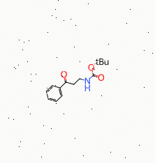 CC(C)(C)OC(=O)NCCC(=O)c1c[c]ccc1